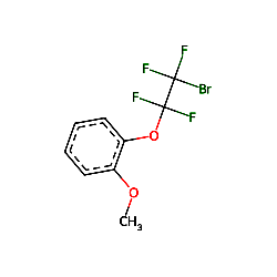 COc1ccccc1OC(F)(F)C(F)(F)Br